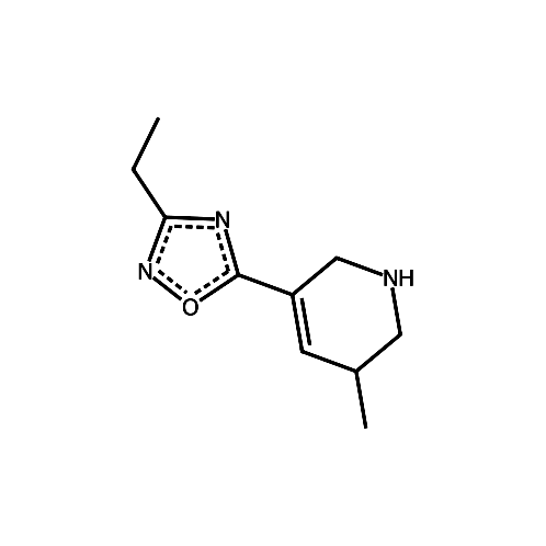 CCc1noc(C2=CC(C)CNC2)n1